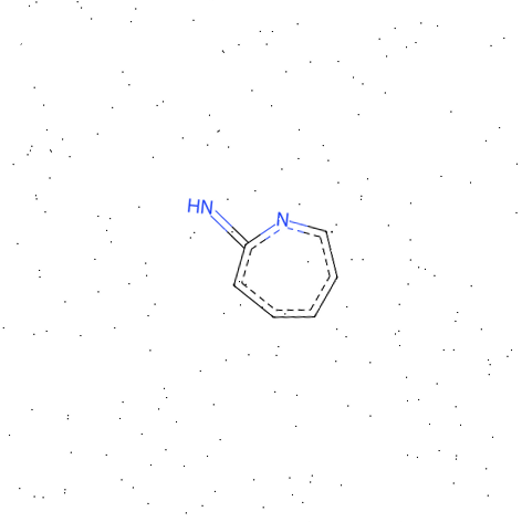 N=c1cccc[c]n1